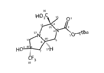 CC(C)(C)OC(=O)N1C[C@H]2C[C@](O)(C(F)(F)F)CN2C[C@@]1(C)C(=O)O